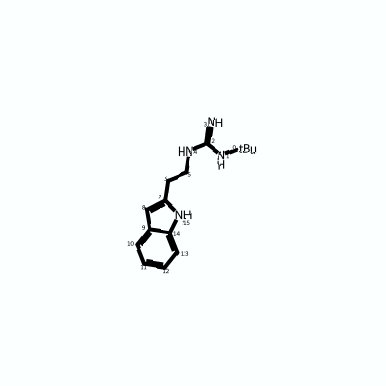 CC(C)(C)NC(=N)NCCc1cc2ccccc2[nH]1